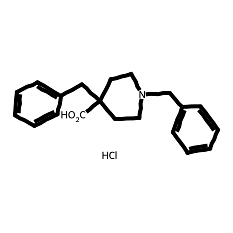 Cl.O=C(O)C1(Cc2ccccc2)CCN(Cc2ccccc2)CC1